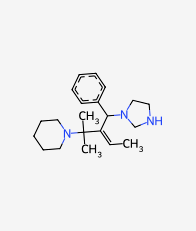 C/C=C(\C(c1ccccc1)N1CCNC1)C(C)(C)N1CCCCC1